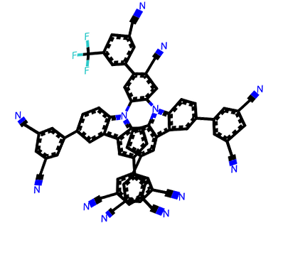 N#Cc1cc(C#N)cc(-c2ccc3c(c2)c2cc(-c4cc(C#N)cc(C#N)c4)ccc2n3-c2cc(C#N)c(-c3cc(C#N)cc(C(F)(F)F)c3)cc2-n2c3ccc(-c4cc(C#N)cc(C#N)c4)cc3c3cc(-c4cc(C#N)cc(C#N)c4)ccc32)c1